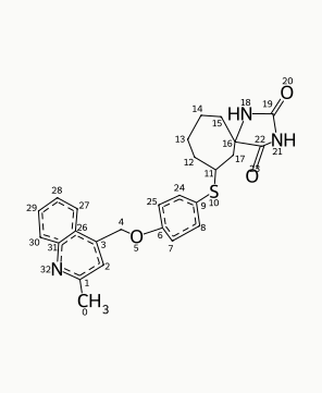 Cc1cc(COc2ccc(SC3CCCCC4(C3)NC(=O)NC4=O)cc2)c2ccccc2n1